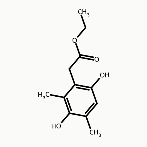 CCOC(=O)Cc1c(O)cc(C)c(O)c1C